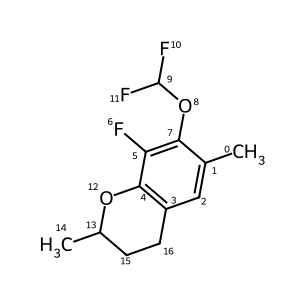 Cc1cc2c(c(F)c1OC(F)F)OC(C)CC2